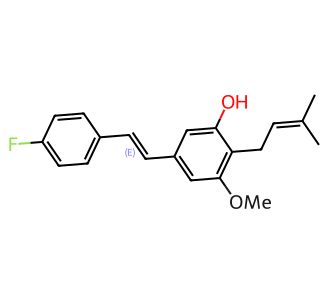 COc1cc(/C=C/c2ccc(F)cc2)cc(O)c1CC=C(C)C